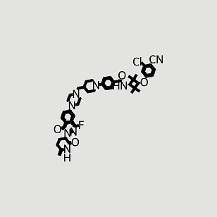 C=C1CCC(n2nc(F)c3cc(N4CCN(CC5CCN(c6ccc(C(=O)N[C@H]7C(C)(C)[C@H](Oc8ccc(C#N)c(Cl)c8)C7(C)C)cc6)CC5)CC4)ccc3c2=O)C(=O)N1